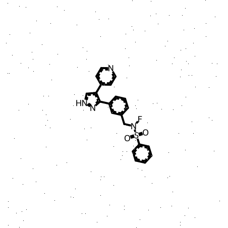 O=S(=O)(c1ccccc1)N(F)Cc1cccc(-c2n[nH]cc2-c2ccncc2)c1